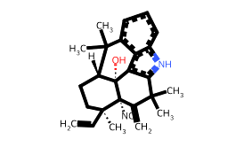 [C-]#[N+][C@@]12C(=C)C(C)(C)c3[nH]c4cccc5c4c3[C@]1(O)[C@H](CC[C@]2(C)C=C)C5(C)C